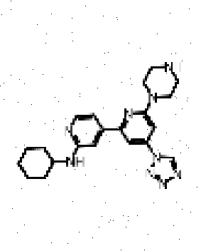 c1cc(-c2cc(-n3cnnn3)cc(N3CCNCC3)n2)cc(NC2CCCCC2)n1